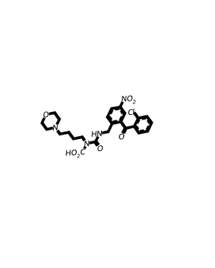 O=C(c1ccccc1Cl)c1cc([N+](=O)[O-])ccc1CNC(=O)N(CCCCN1CCOCC1)C(=O)O